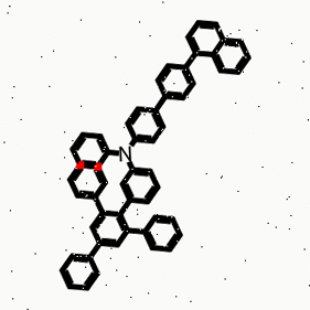 c1ccc(-c2cc(-c3ccccc3)c(-c3cccc(N(c4ccccc4)c4ccc(-c5ccc(-c6cccc7ccccc67)cc5)cc4)c3)c(-c3ccccc3)c2)cc1